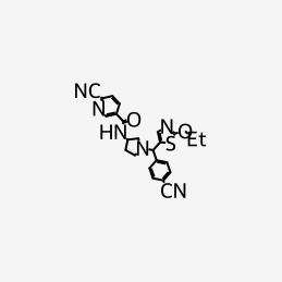 CCOc1ncc(C(c2ccc(C#N)cc2)N2CC[C@@H](NC(=O)c3ccc(C#N)nc3)C2)s1